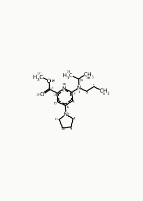 CCCN(c1cc(N2CCCC2)cc(C(=O)OC)n1)C(C)C